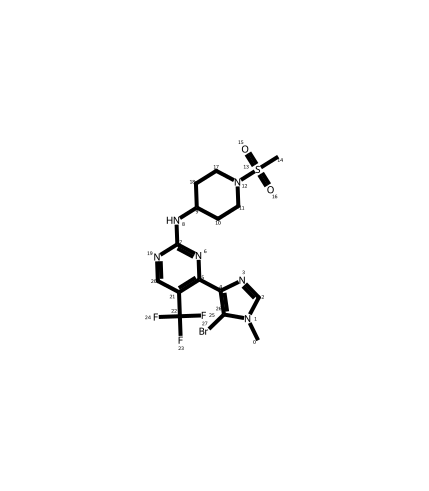 Cn1cnc(-c2nc(NC3CCN(S(C)(=O)=O)CC3)ncc2C(F)(F)F)c1Br